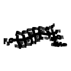 CNS(=O)(=O)C(F)(F)C(F)(F)C(F)(F)C(F)(F)C(F)(F)C(F)(F)C(F)(F)C(F)(F)F